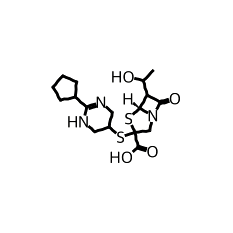 CC(O)C1C(=O)N2CC(SC3CN=C(C4CCCC4)NC3)(C(=O)O)S[C@H]12